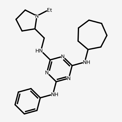 CCN1CCCC1CNc1nc(Nc2ccccc2)nc(NC2CCCCCC2)n1